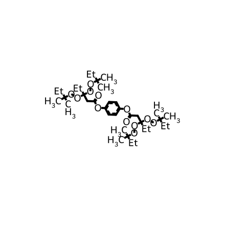 CCC(C)(C)OOC(CC)(CC(=O)Oc1ccc(OC(=O)CC(CC)(OOC(C)(C)CC)OOC(C)(C)CC)cc1)OOC(C)(C)CC